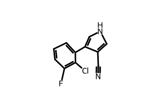 N#Cc1c[nH]cc1-c1cccc(F)c1Cl